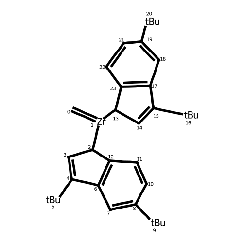 [CH2]=[Zr]([CH]1C=C(C(C)(C)C)c2cc(C(C)(C)C)ccc21)[CH]1C=C(C(C)(C)C)c2cc(C(C)(C)C)ccc21